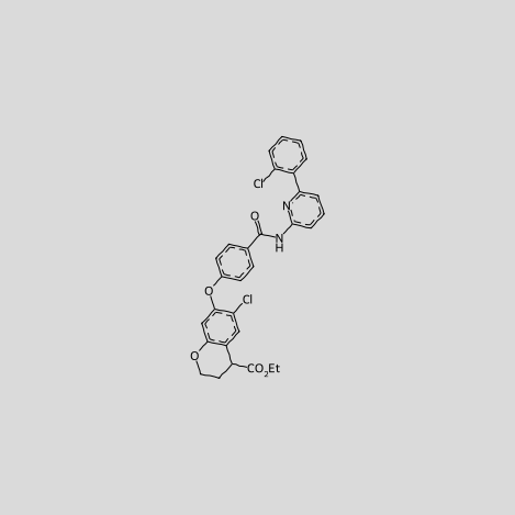 CCOC(=O)C1CCOc2cc(Oc3ccc(C(=O)Nc4cccc(-c5ccccc5Cl)n4)cc3)c(Cl)cc21